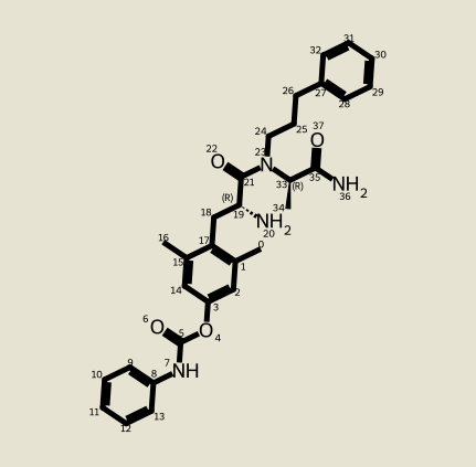 Cc1cc(OC(=O)Nc2ccccc2)cc(C)c1C[C@@H](N)C(=O)N(CCCc1ccccc1)[C@H](C)C(N)=O